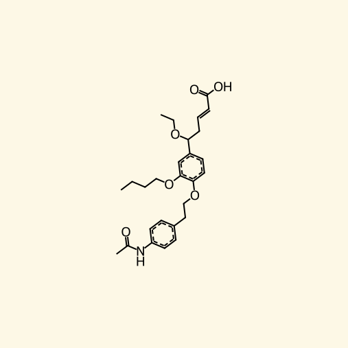 CCCCOc1cc(C(CC=CC(=O)O)OCC)ccc1OCCc1ccc(NC(C)=O)cc1